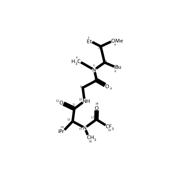 CCC(C)C(C(CC)OC)N(C)C(=O)CNC(=O)C(C(C)C)N(C)C(=O)C(F)(F)F